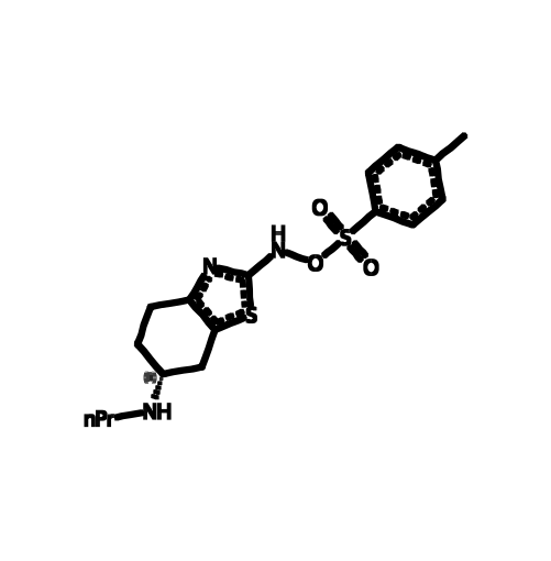 CCCN[C@@H]1CCc2nc(NOS(=O)(=O)c3ccc(C)cc3)sc2C1